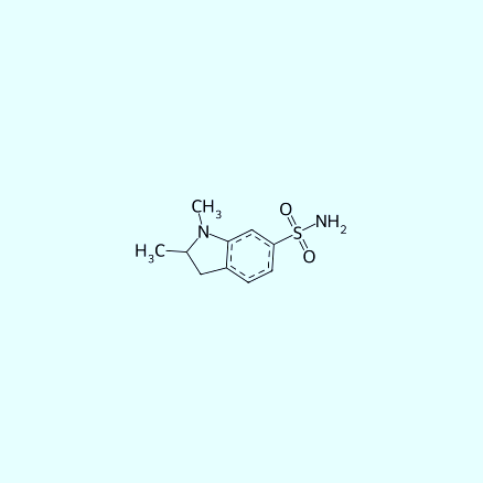 CC1Cc2ccc(S(N)(=O)=O)cc2N1C